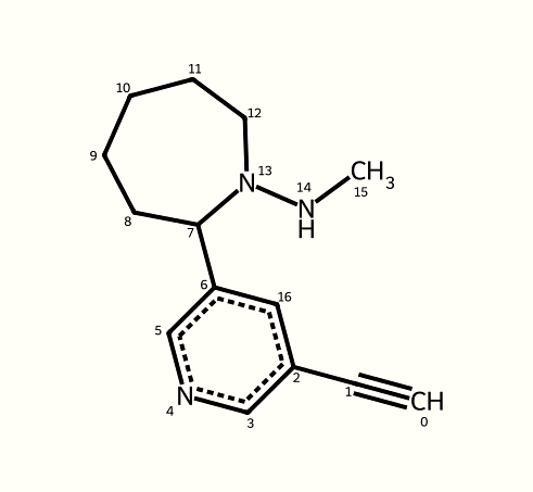 C#Cc1cncc(C2CCCCCN2NC)c1